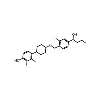 CCCC(O)c1ccc(COC2CCC(c3ccc(O)c(F)c3F)CC2)c(F)c1